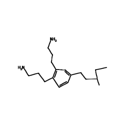 CCC(C)CCc1ccc(CCCN)c(CCCN)c1